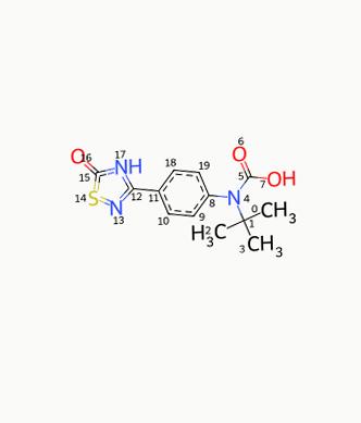 CC(C)(C)N(C(=O)O)c1ccc(-c2nsc(=O)[nH]2)cc1